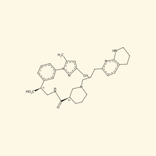 Cc1cc(C)n(-c2cccc([C@@H](CNC(=O)[C@@H]3CCCN(CCCc4ccc5c(n4)NCCC5)C3)C(=O)O)c2)n1